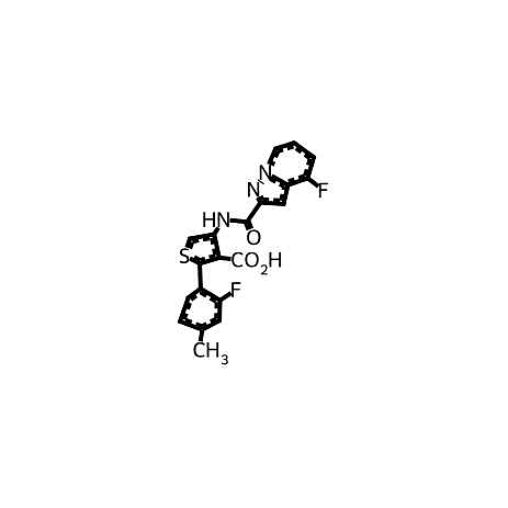 Cc1ccc(-c2scc(NC(=O)c3cc4c(F)cccn4n3)c2C(=O)O)c(F)c1